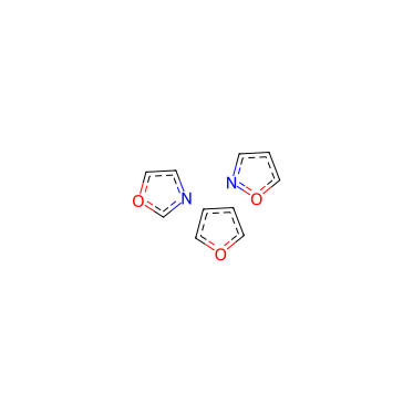 c1ccoc1.c1cnoc1.c1cocn1